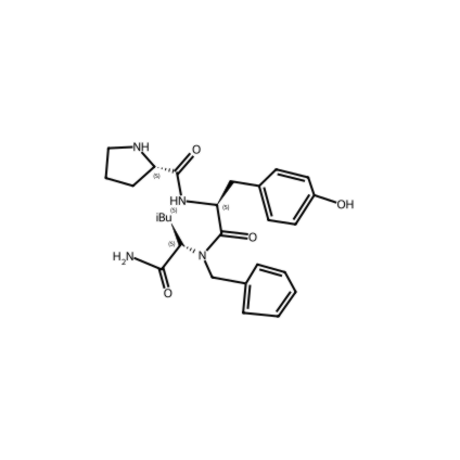 CC[C@H](C)[C@@H](C(N)=O)N(Cc1ccccc1)C(=O)[C@H](Cc1ccc(O)cc1)NC(=O)[C@@H]1CCCN1